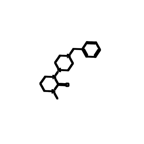 CN1CCCN(N2CCN(Cc3ccccc3)CC2)C1=O